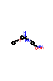 O=C(/C=C/c1ccc(CNCCc2c[nH]c3ccc(OCCCc4ccccc4)cc23)cc1)NO